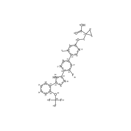 Cc1cc(OCC2(C(=O)O)CC2)ncc1-c1cnc(-c2ncc(-c3ccccc3OC(F)(F)F)[nH]2)c(F)c1